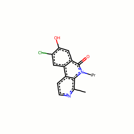 Cc1nccc2c3cc(Cl)c(O)cc3c(=O)n(C(C)C)c12